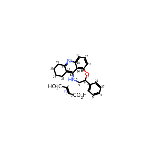 O=C(O)/C=C/C(=O)O.c1ccc(C2CNc3c4c(nc5cccc(c35)O2)CCCC4)cc1